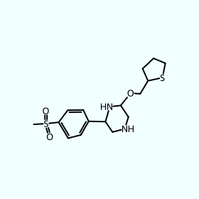 CS(=O)(=O)c1ccc(C2CNCC(OCC3CCCS3)N2)cc1